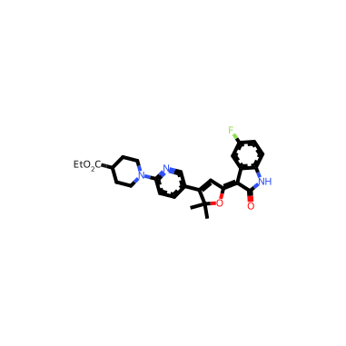 CCOC(=O)C1CCN(c2ccc(C3=CC(=C4C(=O)Nc5ccc(F)cc54)OC3(C)C)cn2)CC1